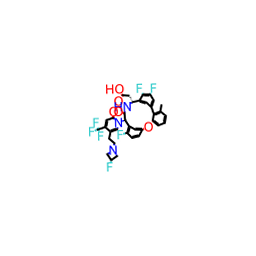 Cc1cccc2c1-c1cc(F)c(F)c(c1)[C@@H](CC(=O)O)NC(=O)[C@H](n1cc(CCN3CC(F)C3)c(C(F)(F)F)cc1=O)c1cc(ccc1F)O2